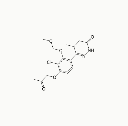 COCOc1c(C2=NNC(=O)CC2C)ccc(OCC(C)=O)c1Cl